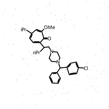 CCCC(CN1CCN(C(c2ccccc2)c2ccc(Cl)cc2)CC1)c1ccc(C(C)C)cc(OC)c1=O